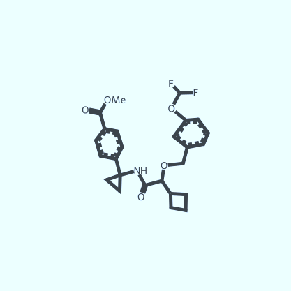 COC(=O)c1ccc(C2(NC(=O)C(OCc3cccc(OC(F)F)c3)C3CCC3)CC2)cc1